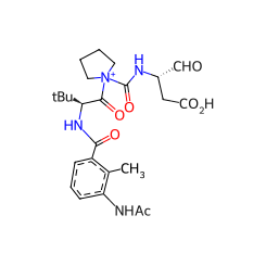 CC(=O)Nc1cccc(C(=O)N[C@H](C(=O)[N+]2(C(=O)N[C@H](C=O)CC(=O)O)CCCC2)C(C)(C)C)c1C